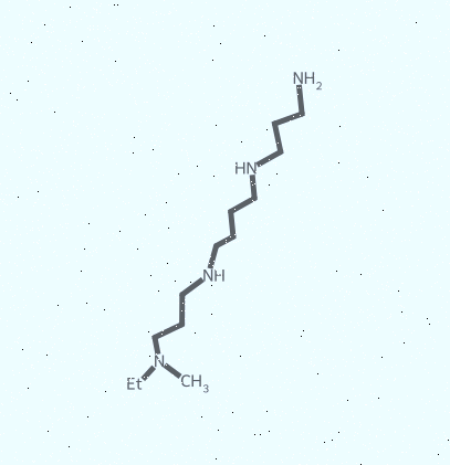 CCN(C)CCCNCCCCNCCCN